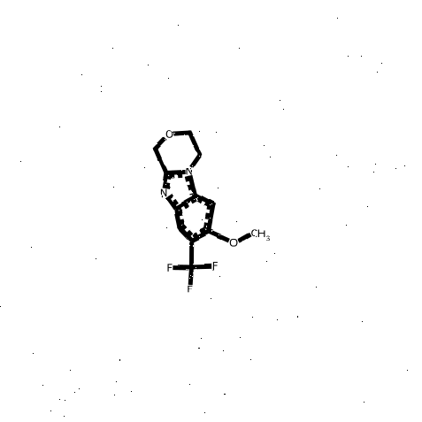 COc1cc2c(cc1C(F)(F)F)nc1n2CCOC1